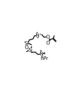 C=C(C)C(=O)OCC[N+](C)(C)CCC[Si](C)(C)O[Si](C)(C)CCC[N+](C)(C)CCC